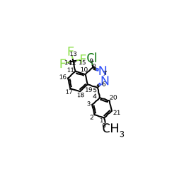 Cc1ccc(-c2nnc(Cl)c3c(C(F)(F)F)cccc23)cc1